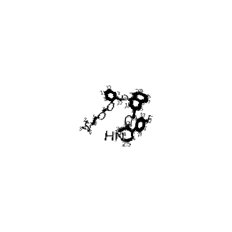 C[Si](C)(C)CCOCOc1ccccc1COc1cc(COC2CNCCC2c2ccc(F)cc2)cc2ccccc12